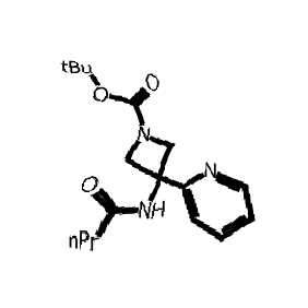 CCCC(=O)NC1(c2ccccn2)CN(C(=O)OC(C)(C)C)C1